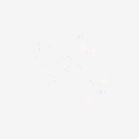 CC(C)(C)OC=O.CC1(C)C(=O)NC(=O)N1CCNc1ncc(-c2cccc3[nH]ccc23)c(-c2ccc(Cl)s2)n1